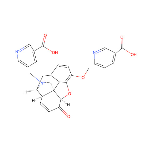 COC1=C2O[C@H]3C(=O)C=C[C@H]4[C@H]5CC(C=C1)C2[C@@]34CCN5C.O=C(O)c1cccnc1.O=C(O)c1cccnc1